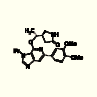 COc1ccc(-c2cc3ncn(C(C)C)c3c(O[C@H](C)[C@H]3CNC(=O)C3)n2)cc1OC